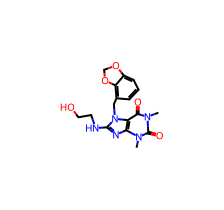 Cn1c(=O)c2c(nc(NCCO)n2Cc2cccc3c2OCO3)n(C)c1=O